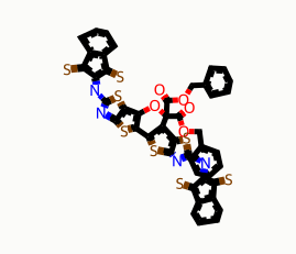 O=C(OCc1ccccc1)C1(C(=O)OCc2ccccc2)Oc2c(sc3nc(N=c4c(=S)c5ccccc5c4=S)sc23)-c2sc3nc(N=c4c(=S)c5ccccc5c4=S)sc3c21